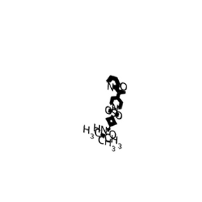 CC(C)(C)NC(=O)[C@H]1C[C@@H](S(=O)(=O)N2CCC(c3coc4cccnc34)CC2)C1